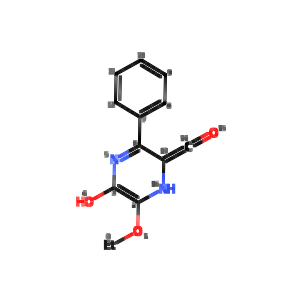 CCOC1=C(O)N=C(c2ccccc2)C(=C=O)N1